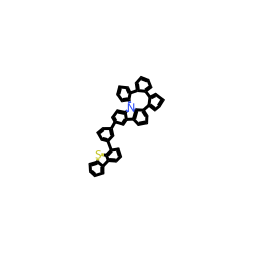 c1cc(-c2ccc3c(c2)c2cccc4c5ccccc5c5ccccc5c5ccccc5n3c42)cc(-c2cccc3c2sc2ccccc23)c1